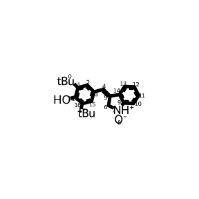 CC(C)(C)c1cc(C=C2C[NH+]([O-])c3ccccc32)cc(C(C)(C)C)c1O